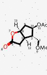 COC[C@@H]1[C@H]2CC(=O)O[C@H]2C[C@H]1OC(C)=O